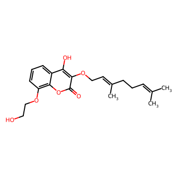 CC(C)=CCC/C(C)=C/COc1c(O)c2cccc(OCCO)c2oc1=O